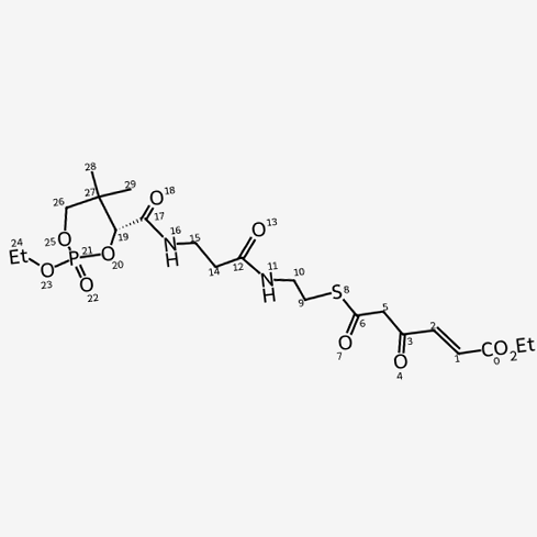 CCOC(=O)/C=C/C(=O)CC(=O)SCCNC(=O)CCNC(=O)[C@@H]1OP(=O)(OCC)OCC1(C)C